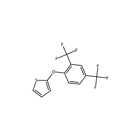 FC(F)(F)c1ccc(Oc2cc[c]s2)c(C(F)(F)F)c1